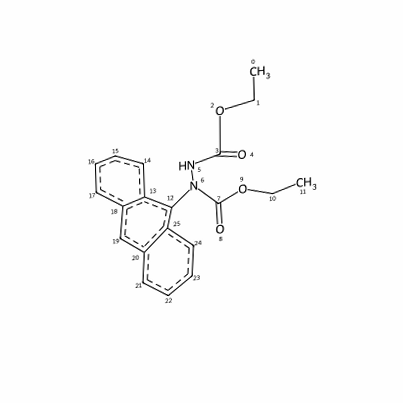 CCOC(=O)NN(C(=O)OCC)c1c2ccccc2cc2ccccc12